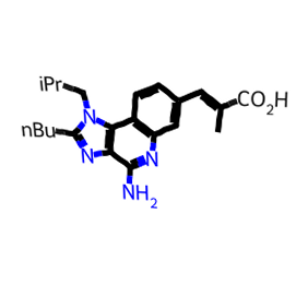 CCCCc1nc2c(N)nc3cc(C=C(C)C(=O)O)ccc3c2n1CC(C)C